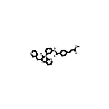 COC(=O)/C=C/c1ccc(C(=O)Nc2cccc(-n3c(=O)c(Cc4cccnc4)nc4cccnc43)c2)cc1